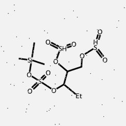 CCC(OS(=O)(=O)O[Si](C)(C)C)C(CO[SH](=O)=O)O[SH](=O)=O